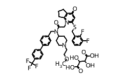 COCCN1CCC(N(Cc2ccc(-c3ccc(C(F)(F)F)cc3)cc2)C(=O)Cn2c(SCc3cccc(F)c3F)cc(=O)c3c2CCC3)CC1.O=C(O)C(O)C(O)C(=O)O